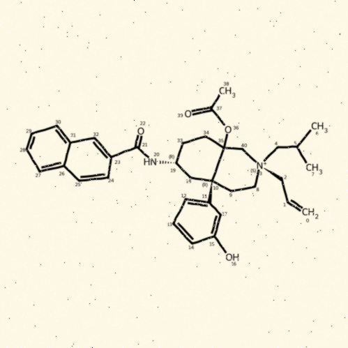 C=CC[N@@+]1(CC(C)C)CC[C@]2(c3cccc(O)c3)C[C@H](NC(=O)c3ccc4ccccc4c3)CCC2(OC(C)=O)C1